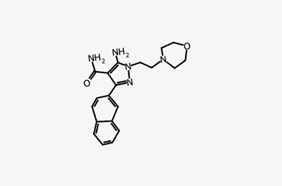 NC(=O)c1c(-c2ccc3ccccc3c2)nn(CCN2CCOCC2)c1N